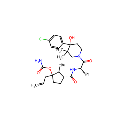 C=CCC1(OC(N)=O)CC[C@@H](C(=O)N[C@@H](C(=O)N2CC[C@](O)(c3ccc(Cl)cc3)C(C)(C)C2)C(C)C)C1C(C)(C)C